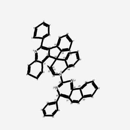 c1ccc(-c2nc3ccccc3c3c2-c2ccccc2C32c3ccccc3N(c3nc(-c4ccccc4)c4ccc5ccccc5c4n3)c3ccccc32)cc1